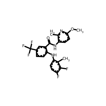 COc1ccc(NC(=O)c2cc(C(F)(F)F)ccc2Nc2ccc(F)c(F)c2C)c(C)n1